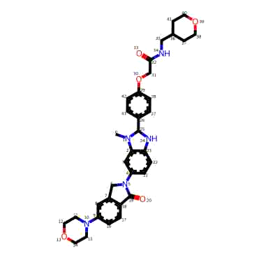 CN1c2cc(N3Cc4cc(N5CCOCC5)ccc4C3=O)ccc2NC1c1ccc(OCC(=O)NCC2CCOCC2)cc1